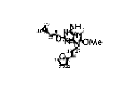 COc1nc2c(N)nc(OCCC3CC3)nc2n1CCCC1CCCO1